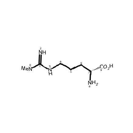 CNC(=N)NCCC[C@@H](N)C(=O)O